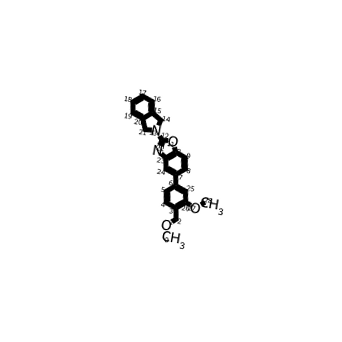 COCc1ccc(-c2ccc3oc(N4Cc5ccccc5C4)nc3c2)cc1OC